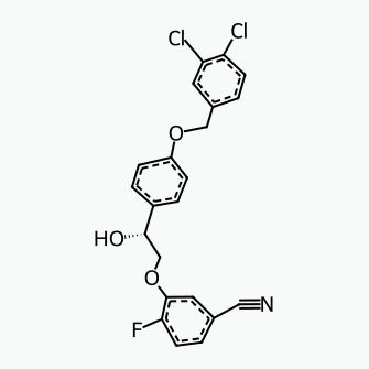 N#Cc1ccc(F)c(OC[C@H](O)c2ccc(OCc3ccc(Cl)c(Cl)c3)cc2)c1